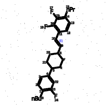 CCCCc1ccc(C2CCC(/C=C/c3ccc(CCC)c(F)c3F)CC2)cc1F